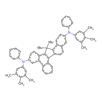 Cc1cc(N(c2ccccc2)c2ccc3c4c(ccc3c2)-c2c(c3ccc(N(c5ccccc5)c5cc(C)c(C)c(C)c5)cc3c3ccccc23)C4(C(C)(C)C)C(C)(C)C)cc(C)c1C